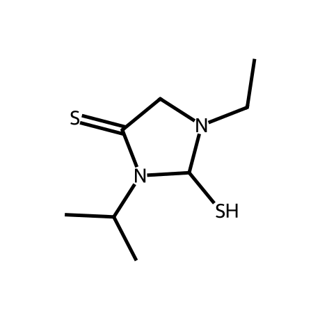 CCN1CC(=S)N(C(C)C)C1S